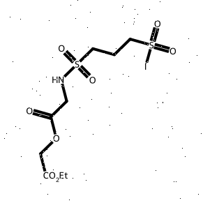 CCOC(=O)COC(=O)CNS(=O)(=O)CCCS(=O)(=O)I